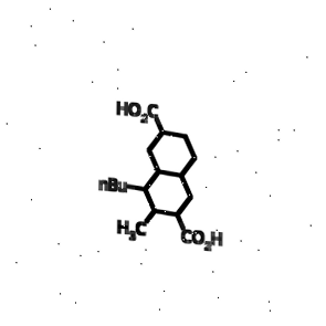 CCCCC1C(C)C(C(=O)O)CC2CCC(C(=O)O)CC21